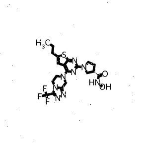 CCCc1cc2c(N3CCn4c(nnc4C(F)(F)F)C3)nc(N3CC[C@H](C(=O)NO)C3)nc2s1